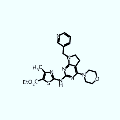 CCOC(=O)c1sc(Nc2nc(N3CCOCC3)c3c(n2)N(Cc2cccnc2)CC3)nc1C